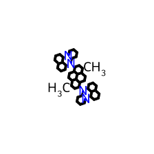 Cc1cc(N(c2ccccn2)c2cccc3ccccc23)c2ccc3c(C)cc(N(c4ccccn4)c4cccc5ccccc45)c4ccc1c2c34